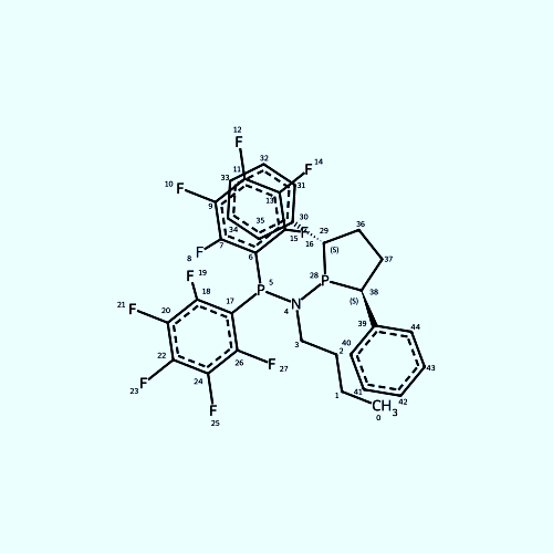 CCCCN(P(c1c(F)c(F)c(F)c(F)c1F)c1c(F)c(F)c(F)c(F)c1F)P1[C@H](c2ccccc2)CC[C@H]1c1ccccc1